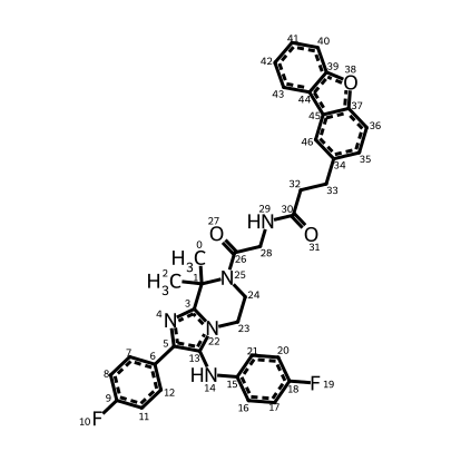 CC1(C)c2nc(-c3ccc(F)cc3)c(Nc3ccc(F)cc3)n2CCN1C(=O)CNC(=O)CCc1ccc2oc3ccccc3c2c1